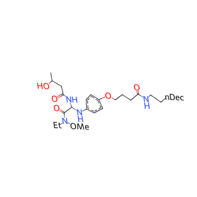 CCCCCCCCCCCCNC(=O)CCCOc1ccc(NC(NC(=O)CC(C)O)C(=O)N(CC)OC)cc1